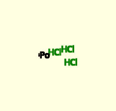 Cl.Cl.Cl.[Po]